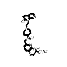 O=CC1CSc2ccc(CNC3CCN(CCn4c(=O)ccc5ccncc54)CC3)nc2N1